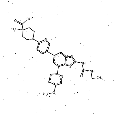 CCNC(=O)Nc1nc2cc(-c3cnc(N4CCC(C)(C(=O)O)CC4)nc3)cc(-c3cnc(OC)cn3)c2s1